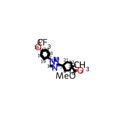 COC(=O)C1(C)CC=C(c2ncn(-c3ccc(OC(F)(F)F)cc3)n2)CC1